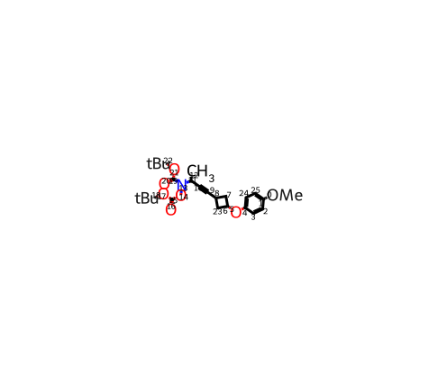 COc1ccc(OC2CC(C#CC(C)N(OC(=O)OC(C)(C)C)C(=O)OC(C)(C)C)C2)cc1